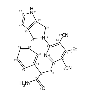 CCc1c(C#N)c(SC(C(N)=O)c2ccccc2)nc(N2Cc3cn[nH]c3C2)c1C#N